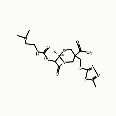 Cc1nnc(SCC2(C(=O)O)CS[C@@H]3C(NC(=O)NCCN(C)C)C(=O)N3C2)s1